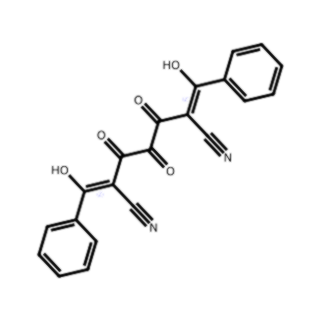 N#C/C(C(=O)C(=O)C(=O)/C(C#N)=C(\O)c1ccccc1)=C(/O)c1ccccc1